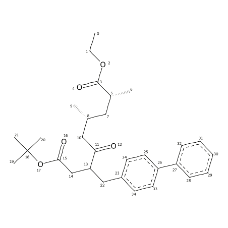 CCOC(=O)[C@H](C)C[C@@H](C)CC(=O)C(CC(=O)OC(C)(C)C)Cc1ccc(-c2ccccc2)cc1